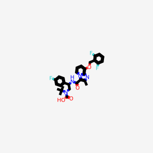 Cc1nc2c(OCc3c(F)cccc3F)cccn2c1C(=O)NC(CN(C(=O)O)C(C)(C)C)c1ccc(F)cc1